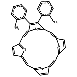 Nc1ccccc1C1=C(c2ccccc2N)C2=NC1=CC1=NC(=CC3=NC(=CC4=NC(=C2)C=C4)C=C3)C=C1